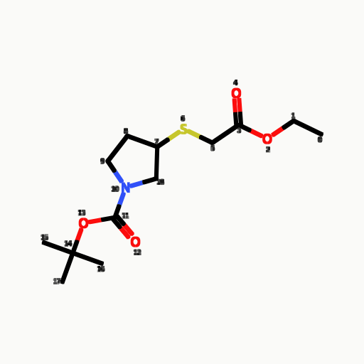 CCOC(=O)CSC1CCN(C(=O)OC(C)(C)C)C1